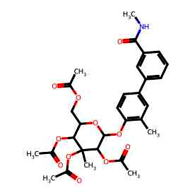 CNC(=O)c1cccc(-c2ccc(OC3OC(COC(C)=O)C(OC(C)=O)C(C)(OC(C)=O)C3OC(C)=O)c(C)c2)c1